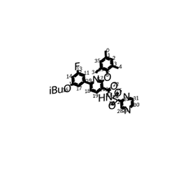 Cc1cc(C)c(Oc2nc(-c3cc(F)cc(OCC(C)C)c3)ccc2C(=O)NS(=O)(=O)c2cnccn2)c(C)c1